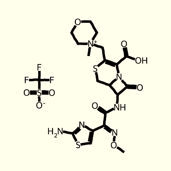 CON=C(C(=O)NC1C(=O)N2C(C(=O)O)=C(C[N+]3(C)CCOCC3)SCC12)c1csc(N)n1.O=S(=O)([O-])C(F)(F)F